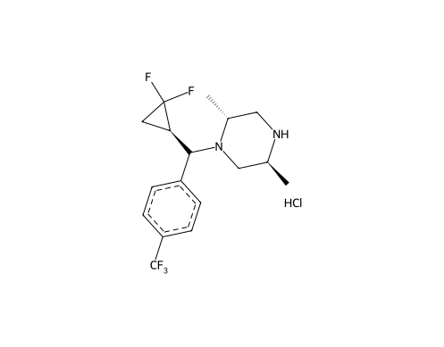 C[C@@H]1CN[C@@H](C)CN1C(c1ccc(C(F)(F)F)cc1)[C@H]1CC1(F)F.Cl